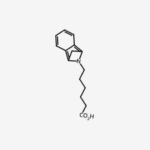 O=C(O)CCCCCn1c2c3ccccc3c1C2